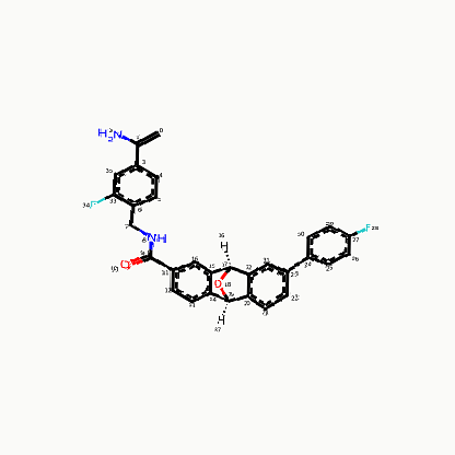 C=C(N)c1ccc(CNC(=O)c2ccc3c(c2)[C@@H]2O[C@H]3c3ccc(-c4ccc(F)cc4)cc32)c(F)c1